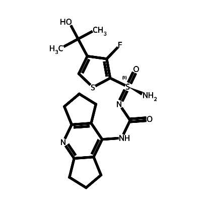 CC(C)(O)c1csc([S@](N)(=O)=NC(=O)Nc2c3c(nc4c2CCC4)CCC3)c1F